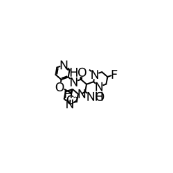 CN1CC(F)CNC1C(C(=O)Nc1cnccc1OC1CN2CCC1CC2)C(N)N=O